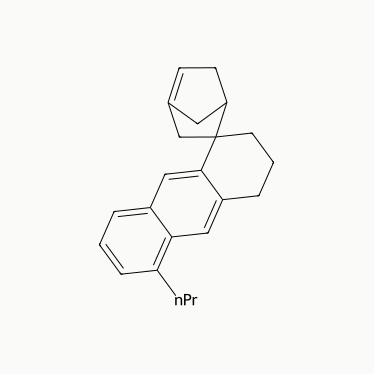 CCCc1cccc2cc3c(cc12)CCCC31CC2=CCC1C2